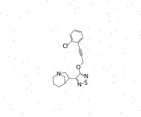 Clc1ccccc1C#CCOc1nsnc1C1CN2CCCC1C2